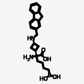 NC(CCCCB(O)O)(C(=O)O)[C@H]1C[C@@H](NCc2ccc3c(c2)Cc2ccccc2-3)C1